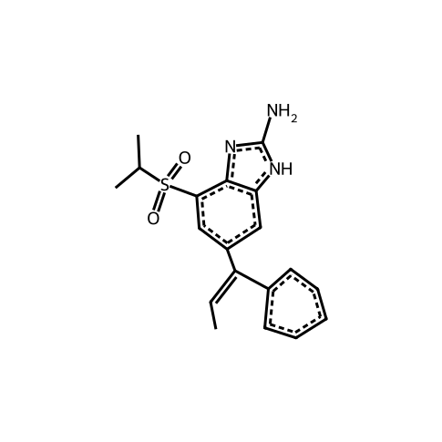 C/C=C(\c1ccccc1)c1cc(S(=O)(=O)C(C)C)c2nc(N)[nH]c2c1